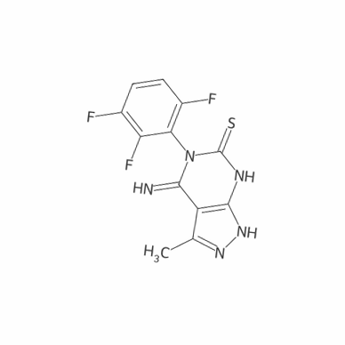 Cc1n[nH]c2[nH]c(=S)n(-c3c(F)ccc(F)c3F)c(=N)c12